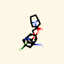 Nc1cc(Cl)cnc1OCC(=O)N1C2CCC1CC(Oc1ccc(F)cc1)C2